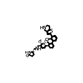 COc1nc(-c2cccc(-c3cccc(-c4cc5c(s4)CCNC5)c3Cl)c2Cl)ccc1CNC[C@@H]1CCC(=O)N1